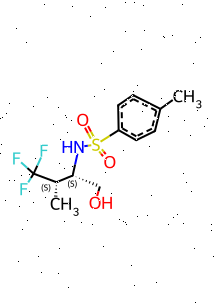 Cc1ccc(S(=O)(=O)N[C@H](CO)[C@H](C)C(F)(F)F)cc1